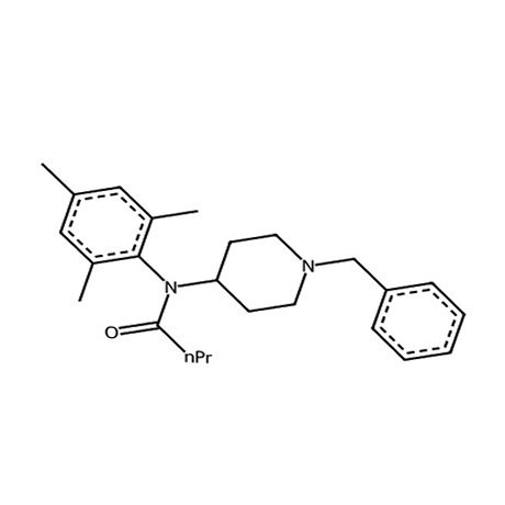 CCCC(=O)N(c1c(C)cc(C)cc1C)C1CCN(Cc2ccccc2)CC1